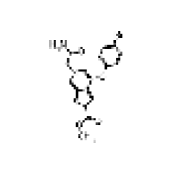 COC(=O)C1C=C2C(Oc3ccc(Br)cc3)=CN(CC(N)=O)C=C2S1